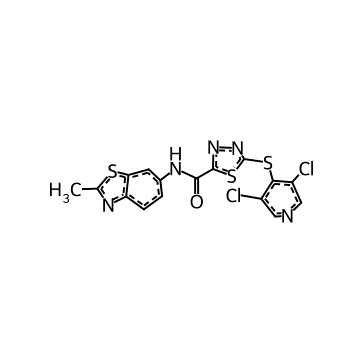 Cc1nc2ccc(NC(=O)c3nnc(Sc4c(Cl)cncc4Cl)s3)cc2s1